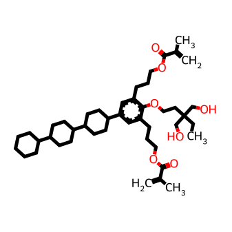 C=C(C)C(=O)OCCCc1cc(C2CCC(C3CCC(C4CCCCC4)CC3)CC2)cc(CCCOC(=O)C(=C)C)c1OCCC(CC)(CO)CO